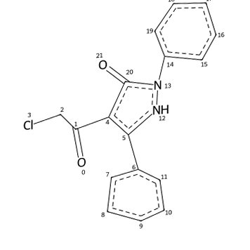 O=C(CCl)c1c(-c2ccccc2)[nH]n(-c2ccccc2)c1=O